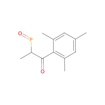 Cc1cc(C)c(C(=O)C(C)P=O)c(C)c1